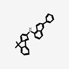 CC1(C)c2ccccc2-c2cc(Nc3cccc4cc(-c5ccccc5)ccc34)ccc21